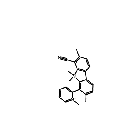 Cc1ccc2c(c1C#N)[Si](C)(C)c1c-2ccc(C)c1-c1cccc[n+]1C